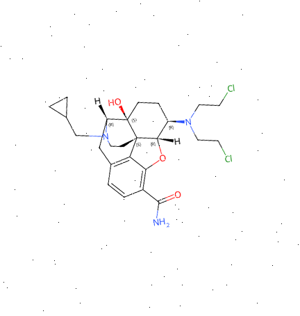 NC(=O)c1ccc2c3c1O[C@H]1[C@H](N(CCCl)CCCl)CC[C@@]4(O)[C@@H](C2)N(CC2CC2)CC[C@]314